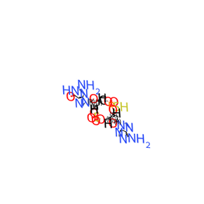 Nc1nc2c(ncn2[C@@H]2O[C@@H]3COP(=O)(S)O[C@H]4C[C@H](n5cnc6c(N)ncnc65)O[C@@H]4COS(=O)(=O)O[C@@H]2C3)c(=O)[nH]1